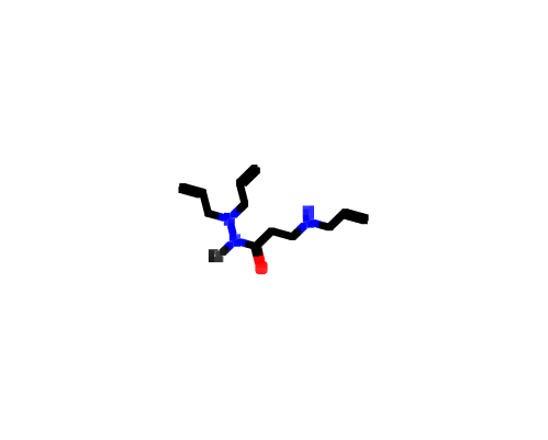 C=CCNCCC(=O)N(CC)N(CC=C)CC=C